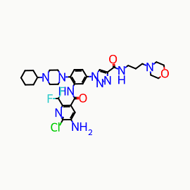 Nc1cc(C(=O)Nc2cc(-n3cc(C(=O)NCCCN4CCOCC4)nn3)ccc2N2CCN(C3CCCCC3)CC2)c(C(F)F)nc1Cl